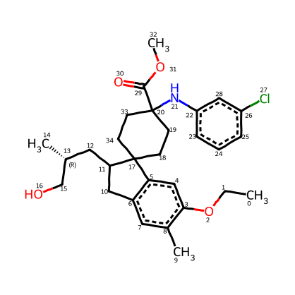 CCOc1cc2c(cc1C)CC(C[C@@H](C)CO)C21CCC(Nc2cccc(Cl)c2)(C(=O)OC)CC1